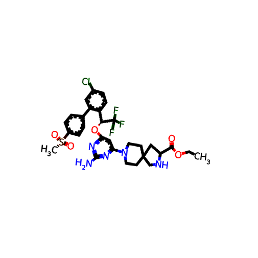 CCOC(=O)C1CC2(CCN(c3cc(O[C@H](c4ccc(Cl)cc4-c4ccc(S(C)(=O)=O)cc4)C(F)(F)F)nc(N)n3)CC2)CN1